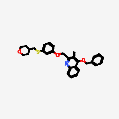 Cc1c(COc2cccc(SCC3CCOCC3)c2)nc2ccccc2c1OCc1ccccc1